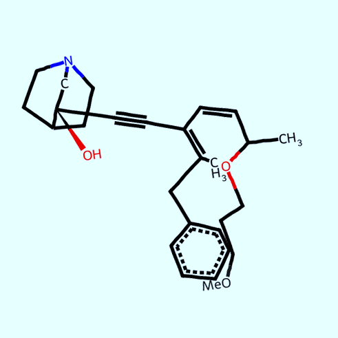 COCCCOC(C)/C=C\C(C#C[C@@]1(O)CN2CCC1CC2)=C(/C)Cc1ccccc1